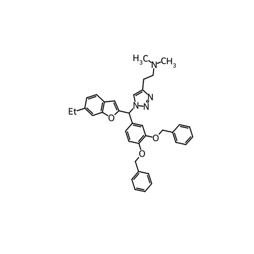 CCc1ccc2cc(C(c3ccc(OCc4ccccc4)c(OCc4ccccc4)c3)n3cc(CCN(C)C)nn3)oc2c1